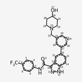 O=C(Nc1ccc(C(F)(F)F)cc1)c1n[nH]c2ccc(-c3cncc(CN4CCC(O)CC4)c3)cc12